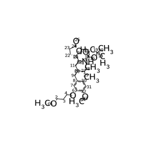 COCCCOc1cc(C[C@@H](C[C@H](NC(=O)OC(C)(C)C)[C@@H]2CCC(=O)O2)C(C)C)ccc1OC